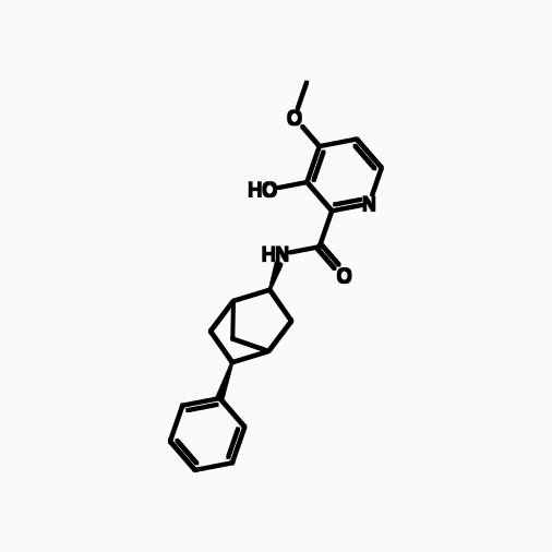 COc1ccnc(C(=O)N[C@H]2CC3CC2C[C@@H]3c2ccccc2)c1O